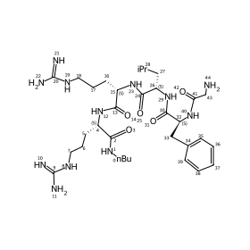 CCCCNC(=O)[C@H](CCCNC(=N)N)NC(=O)[C@H](CCCNC(=N)N)NC(=O)[C@H](CC(C)C)NC(=O)[C@H](Cc1ccccc1)NC(=O)CN